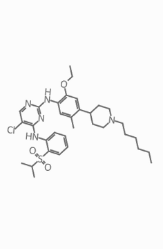 CCCCCCN1CCC(c2cc(OCC)c(Nc3ncc(Cl)c(Nc4ccccc4S(=O)(=O)C(C)C)n3)cc2C)CC1